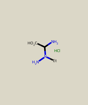 CCN(N)C(N)C(=O)O.Cl